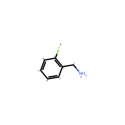 NCc1ccc[c]c1F